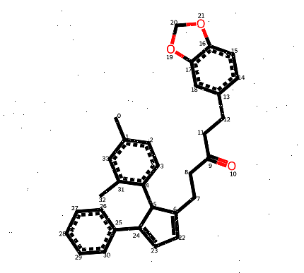 Cc1ccc(C2C(CCC(=O)CCc3ccc4c(c3)OCO4)=CC=C2c2ccccc2)c(C)c1